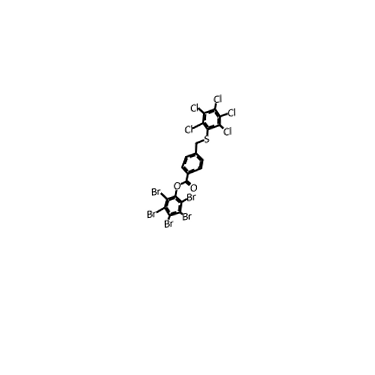 O=C(Oc1c(Br)c(Br)c(Br)c(Br)c1Br)c1ccc(CSc2c(Cl)c(Cl)c(Cl)c(Cl)c2Cl)cc1